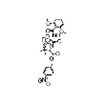 COc1cccc(OC)c1C(=O)N[C@]1(OC)C(=O)N2[C@@H](C(=O)OCc3ccc([N+](=O)[O-])cc3)C(C)(C)S[C@@H]21